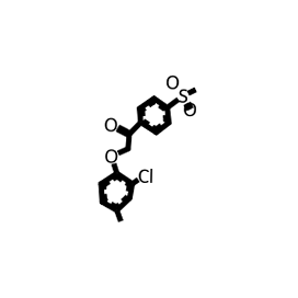 Cc1ccc(OCC(=O)c2ccc(S(C)(=O)=O)cc2)c(Cl)c1